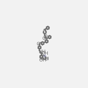 CNc1c(O)ccc(C(O)CNCc2ccc(C(=O)N3CCC(c4cccc(C(C(=O)OCC5CCN(Cc6ccccc6)CC5)c5ccccc5)c4)CC3)cc2)c1/C=C\C=O